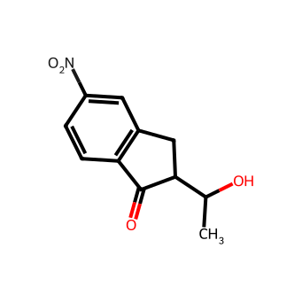 CC(O)C1Cc2cc([N+](=O)[O-])ccc2C1=O